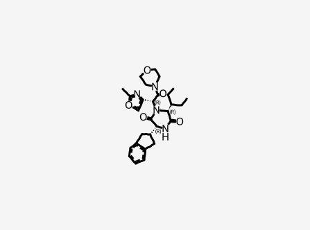 CCC(CC)[C@@H]1C(=O)N[C@H](C2Cc3ccccc3C2)C(=O)N1[C@@H](C(=O)N1CCOCC1)c1coc(C)n1